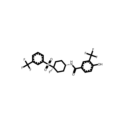 O=C(N[C@H]1CC[C@](F)(S(=O)(=O)c2cccc(C(F)(F)F)c2)CC1)c1ccc(O)c(C(F)(F)F)c1